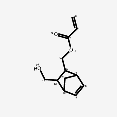 C=CC(=O)OCC1C2C=CC(C2)C1CO